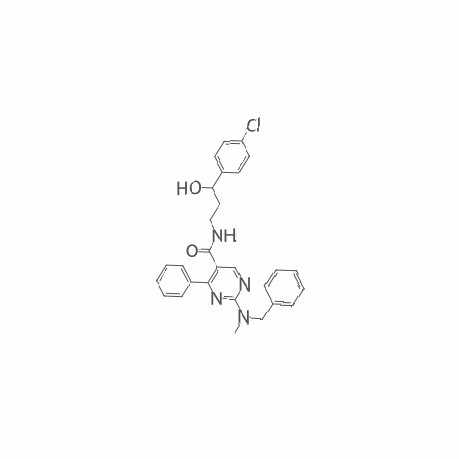 CN(Cc1ccccc1)c1ncc(C(=O)NCCC(O)c2ccc(Cl)cc2)c(-c2ccccc2)n1